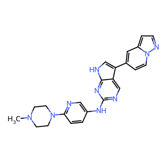 CN1CCN(c2ccc(Nc3ncc4c(-c5ccn6nccc6c5)c[nH]c4n3)cn2)CC1